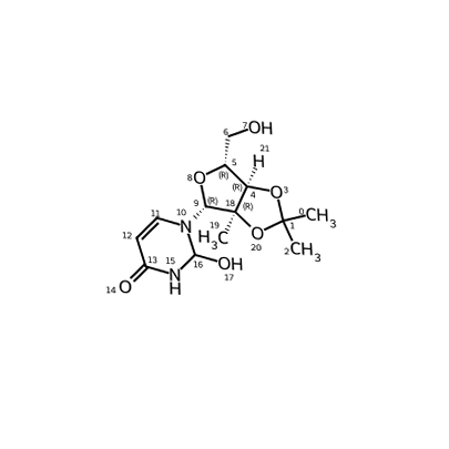 CC1(C)O[C@@H]2[C@@H](CO)O[C@@H](N3C=CC(=O)NC3O)[C@]2(C)O1